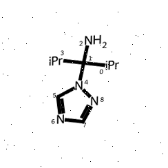 CC(C)C(N)(C(C)C)n1cncn1